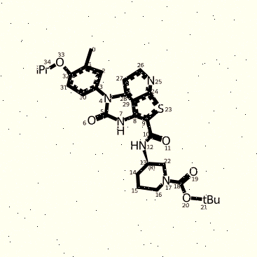 Cc1cc(N2C(=O)Nc3c(C(=O)N[C@@H]4CCCN(C(=O)OC(C)(C)C)C4)sc4nccc2c34)ccc1OC(C)C